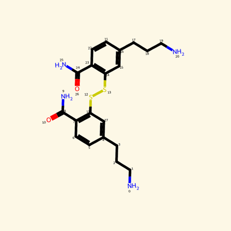 NCCCc1ccc(C(N)=O)c(SSc2cc(CCCN)ccc2C(N)=O)c1